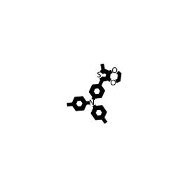 Cc1ccc(N(c2ccc(C)cc2)c2ccc(-c3sc(C)c4c3OCCO4)cc2)cc1